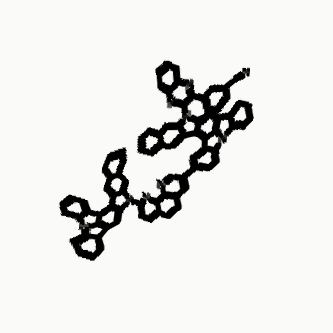 N#Cc1cccc(-c2nc3ccccc3nc2-n2c3cc4ccccc4cc3c3c4c5cc(-c6cnc7c(ccc8ccc(-n9c%10cc%11ccccc%11cc%10c%10c%11c%12ccccc%12n%12c%13ccccc%13c(cc%109)c%11%12)nc87)c6)ccc5n5c6ccccc6c(cc32)c45)c1